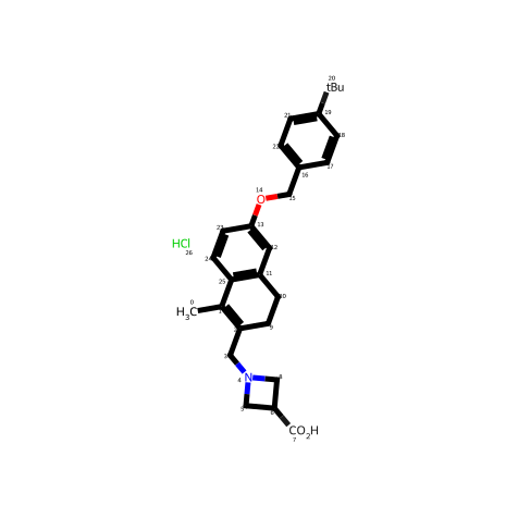 CC1=C(CN2CC(C(=O)O)C2)CCc2cc(OCc3ccc(C(C)(C)C)cc3)ccc21.Cl